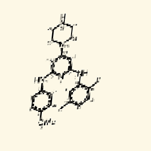 COc1ccc(Nc2nc(Nc3cc(C)ccc3C)cc(N3CCNCC3)n2)cc1